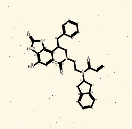 C=CC(=O)N(CCN(CC(Cc1ccccc1)c1ccc(O)c2[nH]c(=O)sc12)C(=O)O)C1Cc2ccccc2C1